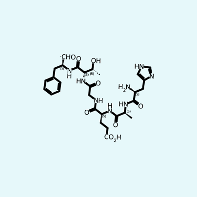 C[C@H](NC(=O)[C@@H](N)Cc1c[nH]cn1)C(=O)N[C@@H](CCC(=O)O)C(=O)NCC(=O)N[C@H](C(=O)N[C@H]([C]=O)Cc1ccccc1)[C@@H](C)O